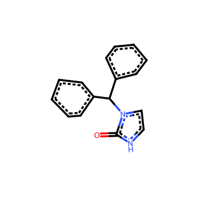 O=c1[nH]ccn1C(c1ccccc1)c1ccccc1